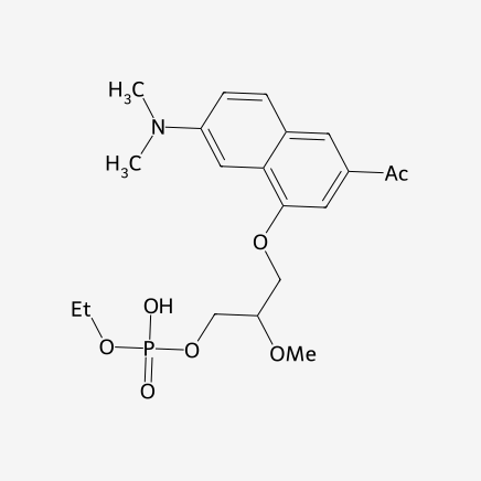 CCOP(=O)(O)OCC(COc1cc(C(C)=O)cc2ccc(N(C)C)cc12)OC